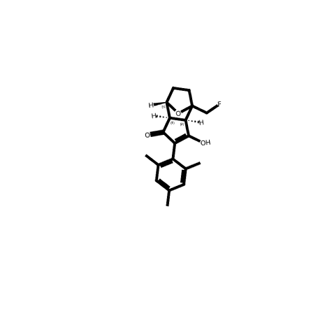 Cc1cc(C)c(C2=C(O)[C@H]3[C@@H](C2=O)[C@@H]2CCC3(CF)O2)c(C)c1